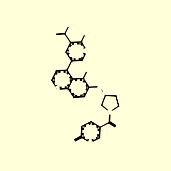 COc1ncc(-c2ccnc3ccc(O[C@H]4CCN(C(=O)c5ccc(=O)[nH]c5)C4)c(C)c23)cc1C(F)F